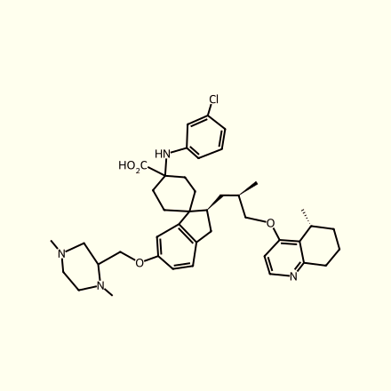 C[C@@H](COc1ccnc2c1[C@H](C)CCC2)C[C@H]1Cc2ccc(OCC3CN(C)CCN3C)cc2C12CCC(Nc1cccc(Cl)c1)(C(=O)O)CC2